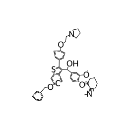 COc1cc(C(O)c2c(-c3ccc(OCCN4CCCC4)cc3)sc3cc(OCc4ccccc4)ccc23)ccc1O[C@@H]1CCCC[C@H]1N(C)C